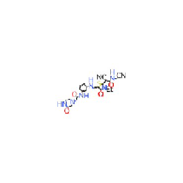 CCn1c(=C(C#N)C(=O)NCC#N)sc(=CNc2cccc(NC(=O)CN3CCNC(=O)C3)c2)c1=O